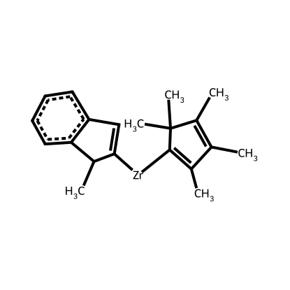 CC1=C(C)C(C)(C)[C]([Zr][C]2=Cc3ccccc3C2C)=C1C